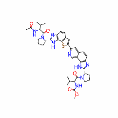 COC(=O)N[C@H](C(=O)N1CCC[C@H]1c1nc2ccc3cc(-c4cc5ccc6nc([C@@H]7CCCN7C(=O)[C@@H](NC(C)=O)C(C)C)[nH]c6c5s4)ncc3c2[nH]1)C(C)C